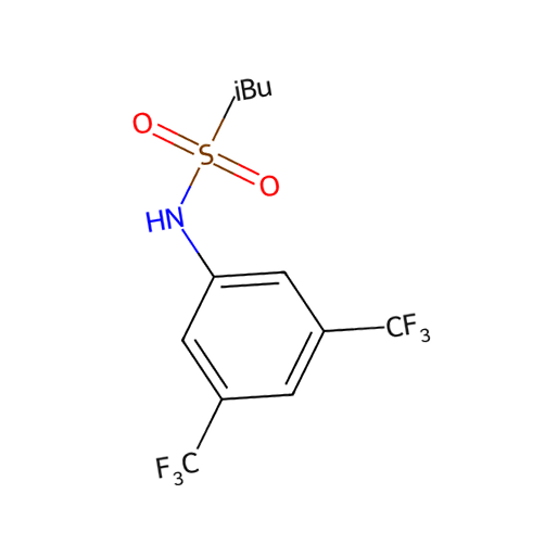 CCC(C)S(=O)(=O)Nc1cc(C(F)(F)F)cc(C(F)(F)F)c1